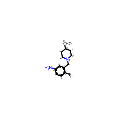 CCc1ccc(N)cc1CN1CCC([C]=O)CC1